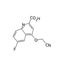 N#CCOc1cc(C(=O)O)nc2ccc(F)cc12